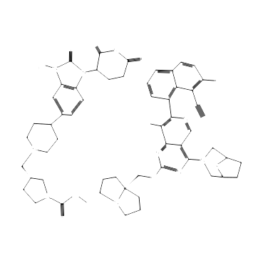 C#Cc1c(F)ccc2cccc(-c3ncc4c(N5CC6CCC(C5)N6)nc(OC[C@@]56CCCN5[C@H](COC(=O)N5CC[C@@H](CN7CCC(c8ccc9c(c8)n(C)c(=O)n9C8CCC(=O)NC8=O)CC7)C5)CC6)nc4c3F)c12